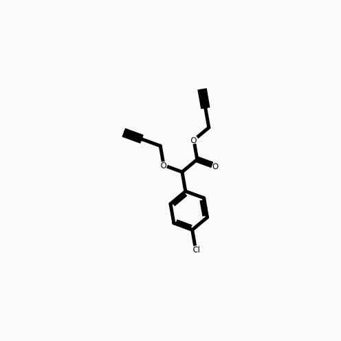 C#CCOC(=O)C(OCC#C)c1ccc(Cl)cc1